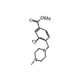 COC(=O)c1ccc(CN2CCN(C)CC2)c(Cl)c1